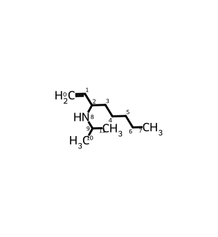 C=CC(CCCCC)NC(C)C